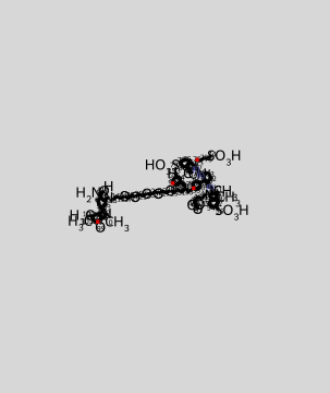 Cc1nn(-c2ccc(C(N)=O)c(NCCCOCCOCCOCCOCCOCCCN(Cc3ccc(C4=C(/C=C/C5=[N+](CCCCS(=O)(=O)[O-])c6ccc(S(=O)(=O)O)cc6C5(C)C)CCC/C4=C\C=C4\N(CCCCS(=O)(=O)O)c5ccc(S(=O)(=O)O)cc5C4(C)C)cc3)Cc3cccc(I)c3)c2)c2c1C(=O)CC(C)(C)C2